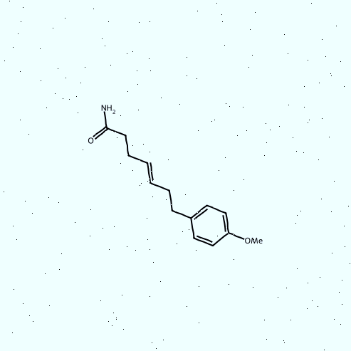 COc1ccc(CCC=CCCC(N)=O)cc1